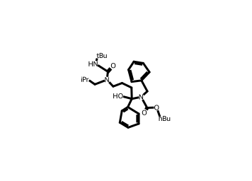 CCCCOC(=O)N(Cc1ccccc1)C(O)(CCCN(CC(C)C)C(=O)NC(C)(C)C)c1ccccc1